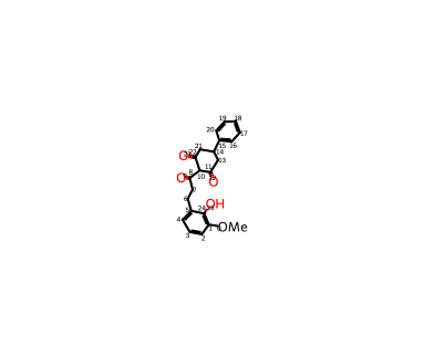 COc1cccc(CCC(=O)C2C(=O)CC(c3ccccc3)CC2=O)c1O